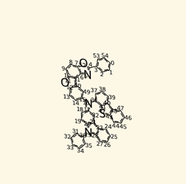 c1ccc(-c2nc3c(ccc4oc5ccc(N(c6ccc7c(c6)c6ccccc6n7-c6ccccc6)c6cccc7c6sc6ccccc67)cc5c43)o2)cc1